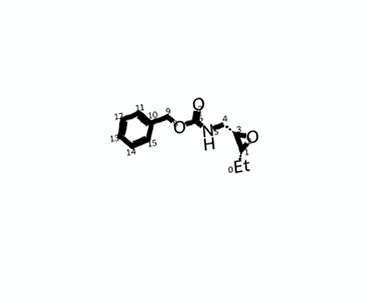 CC[C@H]1O[C@H]1CNC(=O)OCc1ccccc1